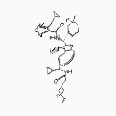 O=C(CC1CC(F)(F)C1)NC(c1ccc2nc(C(NC(=O)c3nonc3C3CC3)[C@H]3CCCC(F)(F)C3)[nH]c2c1)C1CC1